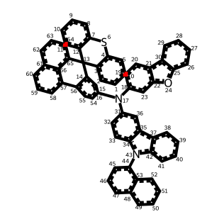 c1ccc2c(c1)Sc1ccccc1C21c2cc(N(c3ccc4c(c3)oc3ccccc34)c3ccc4c(c3)c3ccccc3n4-c3cccc4ccccc34)ccc2-c2cccc3cccc1c23